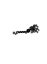 CCCCCCCCOc1ccc(C(=O)NC(C(=O)OC)C(C)C)cc1